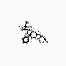 CN/C(=N\C#N)N[C@H]1CC[C@](CNC(=O)C(C)(C)N)(c2ccccc2)CC1